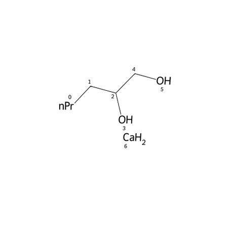 CCCCC(O)CO.[CaH2]